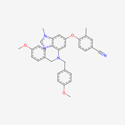 COc1ccc(CN(Cc2ccc(OC)cc2)c2cc(Oc3ccc(C#N)cc3C)cc3c2ncn3C)cc1